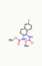 Cc1ccc2c(NC(=O)OC(C)(C)C)c(NC(=O)OC(C)(C)C)ccc2c1